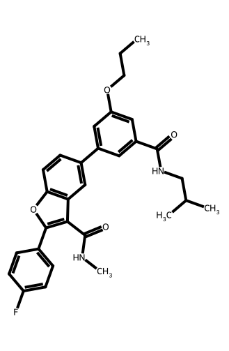 CCCOc1cc(C(=O)NCC(C)C)cc(-c2ccc3oc(-c4ccc(F)cc4)c(C(=O)NC)c3c2)c1